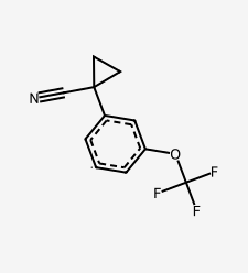 N#CC1(c2c[c]cc(OC(F)(F)F)c2)CC1